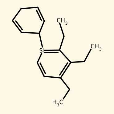 CCc1cc[si](C2C=CCC=C2)c(CC)c1CC